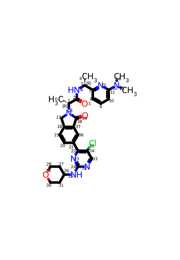 C[C@H](C(=O)N[C@H](C)c1cccc(N(C)C)n1)N1Cc2ccc(-c3nc(NC4CCOCC4)ncc3Cl)cc2C1=O